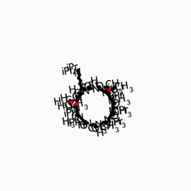 C/C=C/C[C@@H](C)C[C@H]1C(=O)N[C@@H](CC)C(=O)N(C)[C@H](CSCCCCN(CC(C)C)CC(C)C)C(=O)N(C)[C@@H](CC(C)(C)O)C(=O)N[C@@H](C(C)C)C(=O)N(C)[C@@H](CC(C)C)C(=O)N[C@@H](C)C(=O)N[C@H](C)C(=O)N(C)[C@@H](CC(C)C)C(=O)N(C)[C@@H](CC(C)C)C(=O)N(C)[C@@H](C(C)C)C(=O)N1C